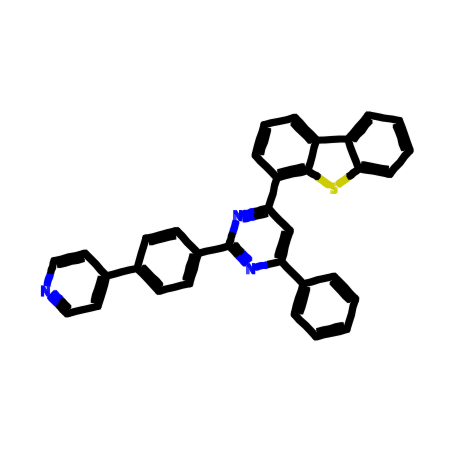 c1ccc(-c2cc(-c3cccc4c3sc3ccccc34)nc(-c3ccc(-c4ccncc4)cc3)n2)cc1